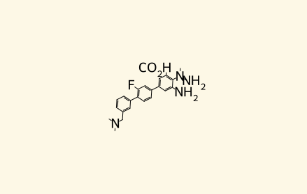 CN(C)Cc1cccc(-c2ccc(-c3cc(N)c(N(C)N)c(C(=O)O)c3)cc2F)c1